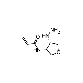 C=CC(=O)N[C@H]1COC[C@H]1NN